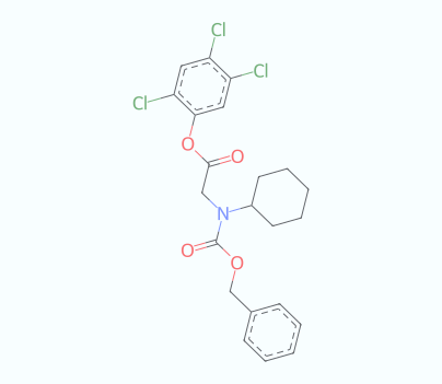 O=C(CN(C(=O)OCc1ccccc1)C1CCCCC1)Oc1cc(Cl)c(Cl)cc1Cl